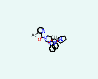 CC(=O)c1cccnc1C(=O)N1CCC(CCN2C3CCC2CC(n2c(C)nc4ccccc42)C3)(c2ccccc2)CC1